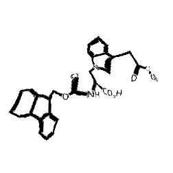 CC(C)(C)OC(=O)Cc1cn(C[C@H](NC(=O)OCC2c3ccccc3-c3ccccc32)C(=O)O)c2ccccc12